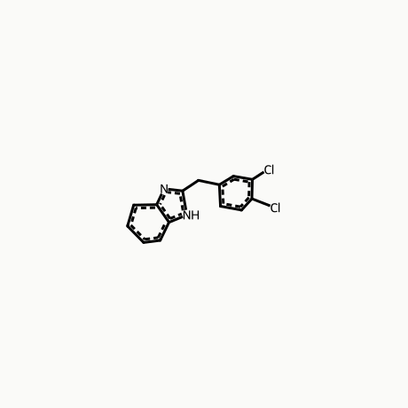 Clc1ccc(Cc2nc3ccccc3[nH]2)cc1Cl